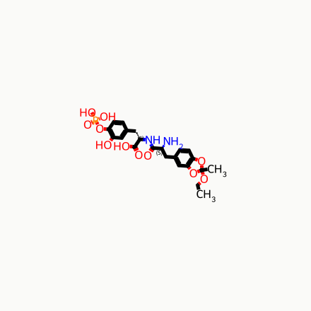 CCOC1(C)Oc2ccc(C[C@H](N)C(=O)N[C@@H](Cc3ccc(OP(=O)(O)O)c(O)c3)C(=O)O)cc2O1